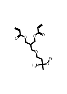 C=CC(=O)OCC(COCCC(C)(N)OCC)COC(=O)C=C